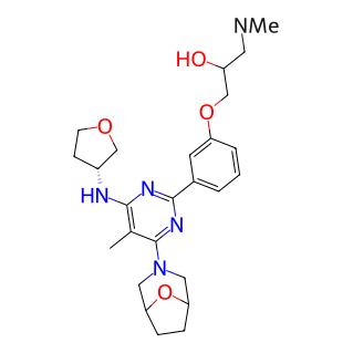 CNCC(O)COc1cccc(-c2nc(N[C@@H]3CCOC3)c(C)c(N3CC4CCC(C3)O4)n2)c1